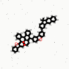 CC1(C)c2ccc(-c3ccc4oc5ccc(-c6c7ccccc7c(-c7ccccc7-c7cccc8c7oc7ccccc78)c7ccccc67)cc5c4c3)cc2-c2cc3ccccc3cc21